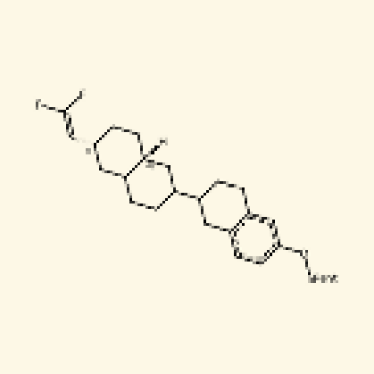 CCCCCOc1ccc2c(c1)CCC(C1CCC3C[C@H](C=C(F)F)CC[C@@H]3C1)C2